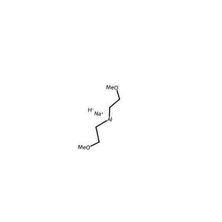 COC[CH2][Al][CH2]COC.[H-].[Na+]